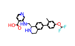 Cc1cc(OC(F)F)ccc1-c1ccc2c(c1)CCN[C@H]2CNc1cnccc1C(=O)O